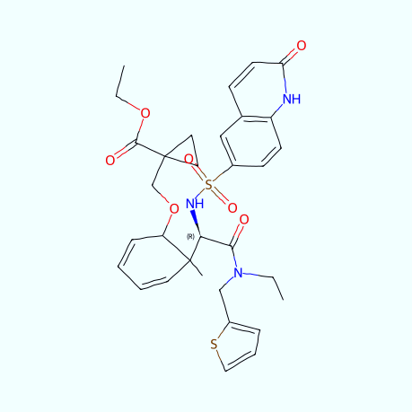 CCOC(=O)C1(COC2C=CC=CC2(C)[C@@H](NS(=O)(=O)c2ccc3[nH]c(=O)ccc3c2)C(=O)N(CC)Cc2cccs2)CC1